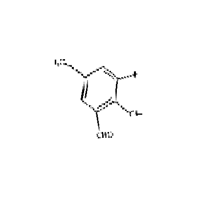 Cc1cc(F)c(O)c(C=O)c1